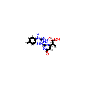 Cc1ccc(NC(=N)Nc2nc(=O)cc(C(C)C(=O)O)[nH]2)cc1